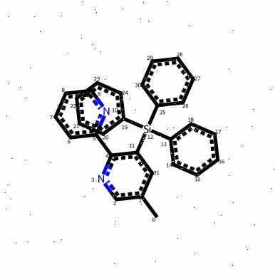 Cc1cnc(-c2ccccn2)c([Si](c2ccccc2)(c2ccccc2)c2ccccc2)c1